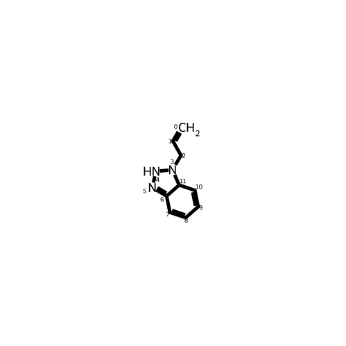 C=CCN1NN=C2C=CC=CC21